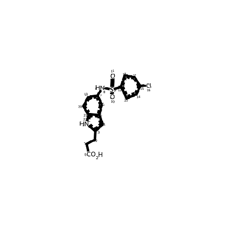 O=C(O)CCc1cc2cc(NS(=O)(=O)c3ccc(Cl)cc3)ccc2[nH]1